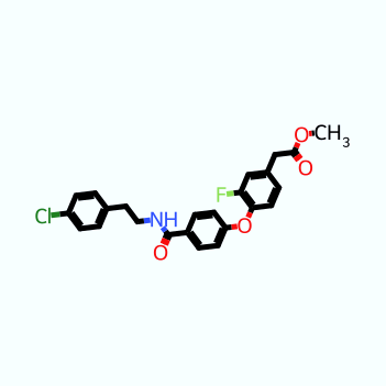 COC(=O)Cc1ccc(Oc2ccc(C(=O)NCCc3ccc(Cl)cc3)cc2)c(F)c1